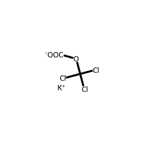 O=C([O-])OC(Cl)(Cl)Cl.[K+]